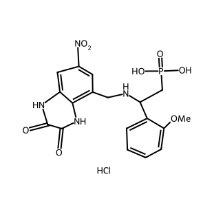 COc1ccccc1C(CP(=O)(O)O)NCc1cc([N+](=O)[O-])cc2[nH]c(=O)c(=O)[nH]c12.Cl